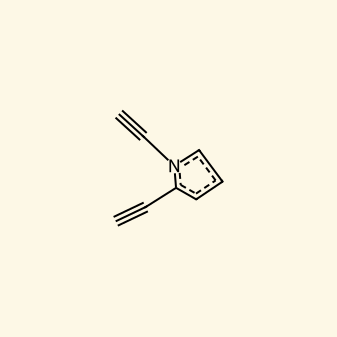 C#Cc1cccn1C#C